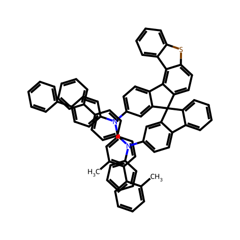 Cc1ccccc1-c1ccc(N(c2ccc(-c3ccccc3)cc2)c2ccc3c(c2)C2(c4ccccc4-c4ccc(N(c5ccccc5)c5ccc(-c6ccccc6)cc5)cc42)c2ccc4sc5ccccc5c4c2-3)cc1C